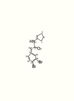 O=C(NC1CCCC1)Sc1ccc(Br)c(Br)c1